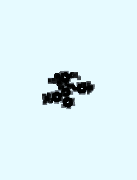 CN(CCc1ccc(C(F)(F)F)nc1)[C@@H]1C[C@H](c2ccccc2)N(c2ccc(OC(F)(F)F)cc2)C1=O.Cc1ccc(S(=O)(=O)O)cc1